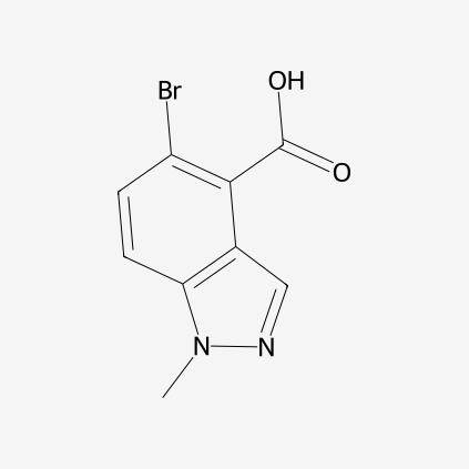 Cn1ncc2c(C(=O)O)c(Br)ccc21